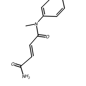 CN(C(=O)C=CC(N)=O)c1ccccc1